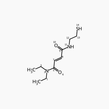 CCN(CC)C(=O)/C=C/C(=O)NCCS